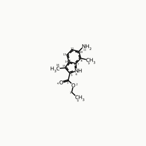 CCOC(=O)c1[nH]c2c(C)c(N)ccc2c1C